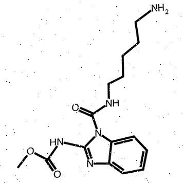 COC(=O)Nc1nc2ccccc2n1C(=O)NCCCCCN